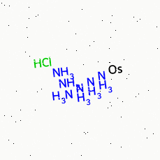 Cl.N.N.N.N.N.N.[Os]